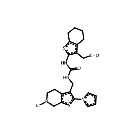 CCN1CCc2c(sc(-n3cccc3)c2CNC(=O)Nc2sc3c(c2CC=O)CCCC3)C1